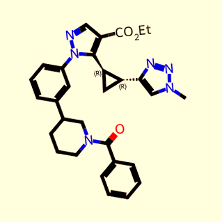 CCOC(=O)c1cnn(-c2cccc(C3CCCN(C(=O)c4ccccc4)C3)c2)c1[C@@H]1C[C@H]1c1cn(C)nn1